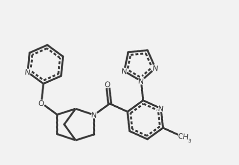 Cc1ccc(C(=O)N2CC3CC(Oc4ccccn4)C2C3)c(-n2nccn2)n1